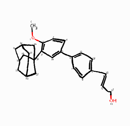 COc1ccc(-c2ccc(C=CCO)cc2)cc1C12CC3CC(CC(C3)C1)C2